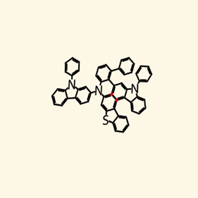 c1ccc(-c2cccc(N(c3ccc4c(c3)sc3ccccc34)c3ccc4c5ccccc5n(-c5ccccc5)c4c3)c2-c2ccc3c4ccccc4n(-c4ccccc4)c3c2)cc1